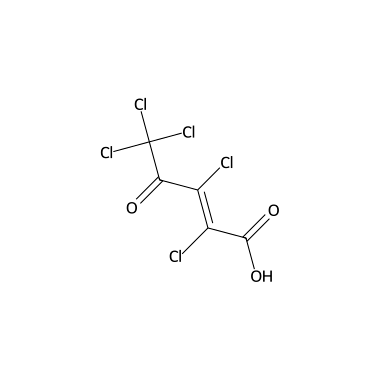 O=C(O)C(Cl)=C(Cl)C(=O)C(Cl)(Cl)Cl